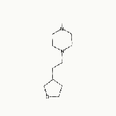 CN1CCN(CCC2CCOC2)CC1